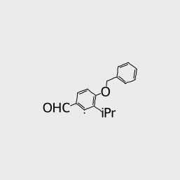 CC(C)c1[c]c(C=O)ccc1OCc1ccccc1